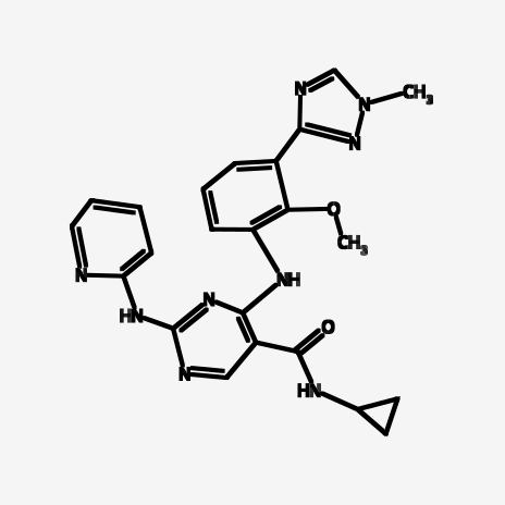 COc1c(Nc2nc(Nc3ccccn3)ncc2C(=O)NC2CC2)cccc1-c1ncn(C)n1